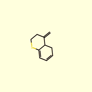 C=C1CCSC2=CC=CCC12